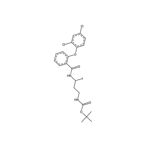 CC(C)(C)OC(=O)NCCC(I)NC(=O)c1ccccc1Oc1ccc(Cl)cc1Cl